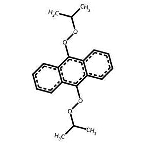 CC(C)OOc1c2ccccc2c(OOC(C)C)c2ccccc12